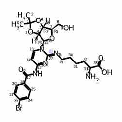 CC1(C)O[C@@H]2[C@H](O1)[C@@H](CO)O[C@H]2n1ccc(NC(=O)c2ccc(Br)cc2)n/c1=N\CCCC[C@H](N)C(=O)O